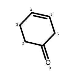 O=C1C[CH]C=CC1